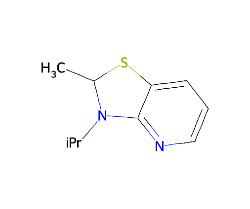 CC(C)N1c2ncccc2SC1C